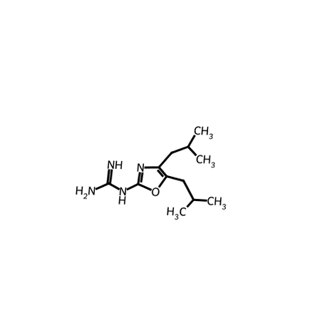 CC(C)Cc1nc(NC(=N)N)oc1CC(C)C